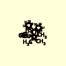 CC1=C(C)[C]([Ti+3])(C[SiH](c2ccccc2)c2ccccc2)C(C(C)(C)C)=C1C.[Cl-].[Cl-].[Cl-]